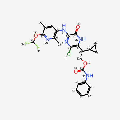 Cc1cc(Nc2nc(Cl)c([C@@H](COC(=O)Nc3ccccc3)C3CC3)[nH]c2=O)c(C)nc1OC(F)F